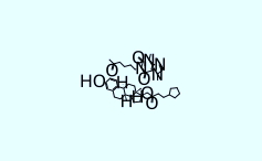 CC(=O)CCCCn1c(=O)c2c(ncn2C)n(C)c1=O.C[C@]12CC[C@@H]3c4ccc(O)cc4CC[C@H]3[C@@H]1CC[C@@H]2OC(=O)CCC1CCCC1